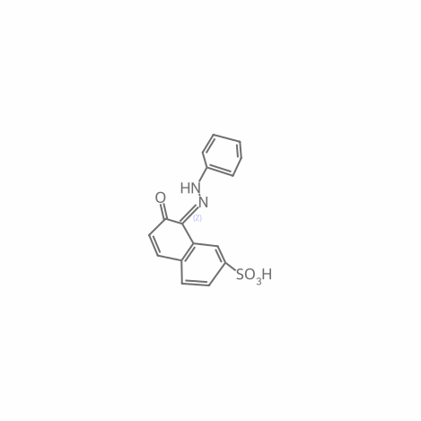 O=C1C=Cc2ccc(S(=O)(=O)O)cc2/C1=N/Nc1ccccc1